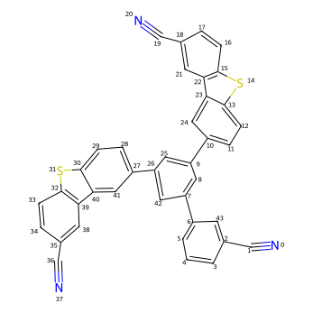 N#Cc1cccc(-c2cc(-c3ccc4sc5ccc(C#N)cc5c4c3)cc(-c3ccc4sc5ccc(C#N)cc5c4c3)c2)c1